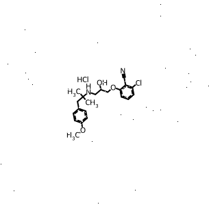 COc1ccc(CC(C)(C)NCC(O)COc2cccc(Cl)c2C#N)cc1.Cl